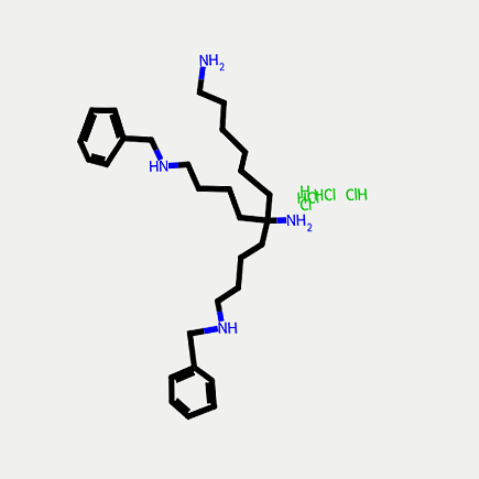 Cl.Cl.Cl.Cl.NCCCCCCC(N)(CCCCNCc1ccccc1)CCCCNCc1ccccc1